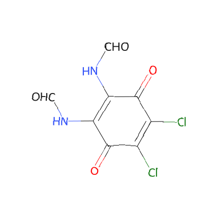 O=CNC1=C(NC=O)C(=O)C(Cl)=C(Cl)C1=O